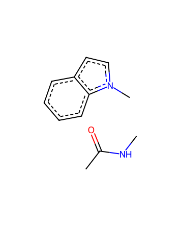 CNC(C)=O.Cn1ccc2ccccc21